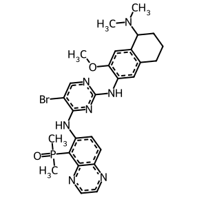 COc1cc2c(cc1Nc1ncc(Br)c(Nc3ccc4nccnc4c3P(C)(C)=O)n1)CCCC2N(C)C